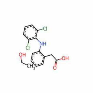 CCO.O=C(O)Cc1ccccc1Nc1c(Cl)cccc1Cl